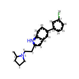 CC1CCCN1CCc1cc2cc(-c3cccc(F)c3)ccc2[nH]1